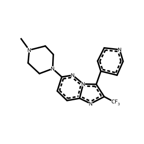 CN1CCN(c2ccc3nc(C(F)(F)F)c(-c4ccncc4)n3n2)CC1